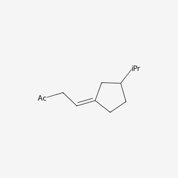 CC(=O)CC=C1CCC(C(C)C)C1